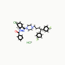 Cl.O=C(c1ccccc1)n1nc(N2CCN(CCCC(c3ccc(F)cc3)c3ccc(F)cc3)CC2)c2ccc(Cl)cc21